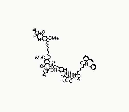 COc1cc2c(cc1OCCCCCOc1cc3c(cc1OC)C(=O)N1CC4(CC4)C[C@H]1C(O)N3C(=O)OCc1ccc(NC(=O)[C@H](C)NC(=O)[C@@H](NC(=O)CCCCC(=O)N3Cc4ccccc4C#Cc4ccccc43)C(C)C)cc1)N=C[C@@H]1CC3(CC3)CN1C2=O